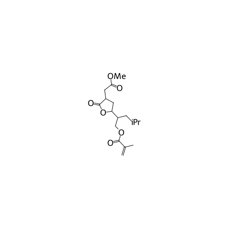 C=C(C)C(=O)OCC(CC(C)C)C1CC(CC(=O)OC)C(=O)O1